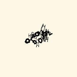 CCn1cnc2c(Nc3ccc(S(=O)(=O)NCCC(c4ccccc4)c4ccccc4)cc3)nc(N[C@H]3CC[C@H](O)CC3)nc21